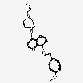 COc1ccc(COc2cccc3c(N4CCN(CC=O)CC4)ccnc23)cc1